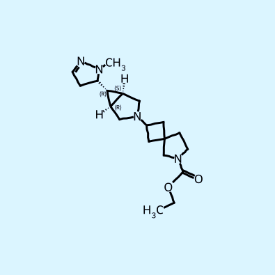 CCOC(=O)N1CCC2(CC(N3C[C@@H]4[C@H](C3)[C@H]4C3CC=NN3C)C2)C1